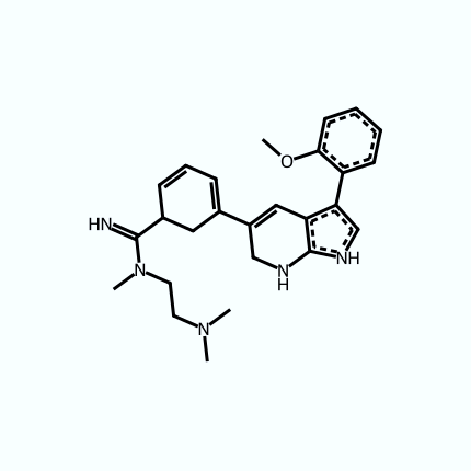 COc1ccccc1-c1c[nH]c2c1C=C(C1=CC=CC(C(=N)N(C)CCN(C)C)C1)CN2